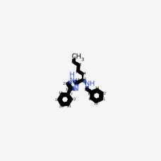 CCCCC[C@@H](NCc1ccccc1)c1nc(-c2ccccc2)c[nH]1